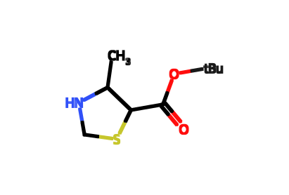 CC1NCSC1C(=O)OC(C)(C)C